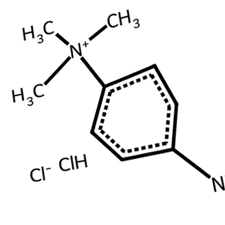 C[N+](C)(C)c1ccc(N)cc1.Cl.[Cl-]